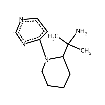 CC(C)(N)C1CCCCN1c1ccn[c]n1